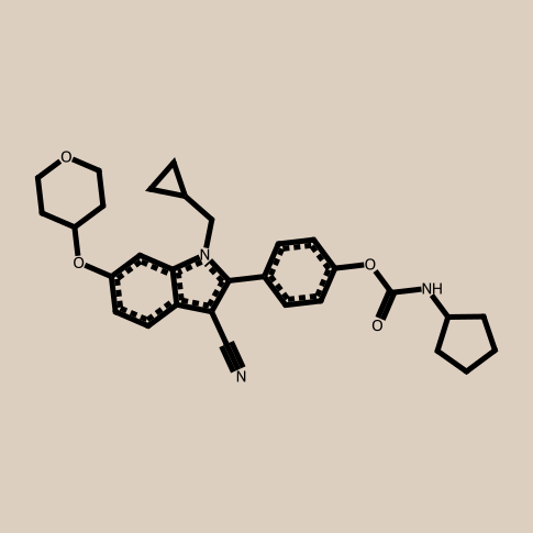 N#Cc1c(-c2ccc(OC(=O)NC3CCCC3)cc2)n(CC2CC2)c2cc(OC3CCOCC3)ccc12